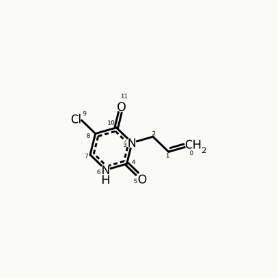 C=CCn1c(=O)[nH]cc(Cl)c1=O